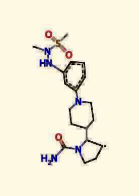 CN(Nc1cccc(N2CCC(C3[CH]CCN3C(N)=O)CC2)c1)S(C)(=O)=O